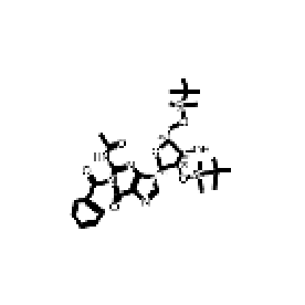 CC(=O)Nc1nc2c(ncn2[C@@H]2O[C@H](CO[Si](C)(C)C(C)(C)C)[C@@H](O)[C@H]2O[Si](C)(C)C(C)(C)C)c(=O)n1C(=O)c1ccccc1